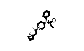 CCC(=O)N(c1ccccc1)C1CCN([C@@H](C)Cc2cccs2)CC1